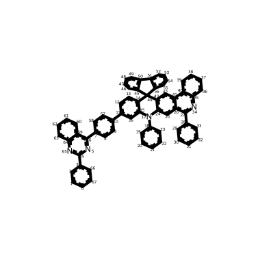 c1ccc(-c2nc(-c3ccc(-c4ccc5c(c4)N(c4ccccc4)c4cc6c(-c7ccccc7)nc7ccccc7c6cc4C54c5ccccc5-c5ccccc54)cc3)c3ccccc3n2)cc1